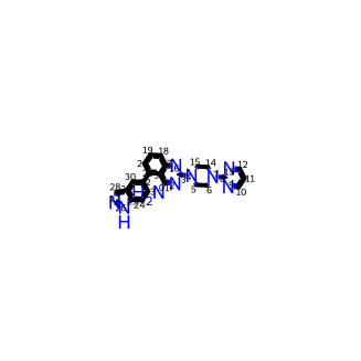 Nc1nc(N2CCN(c3ncccn3)CC2)nc2cccc(-c3ccc4[nH]ncc4c3)c12